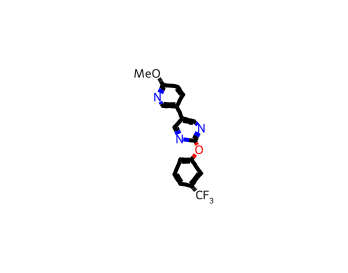 COc1ccc(-c2cnc(Oc3cccc(C(F)(F)F)c3)nc2)cn1